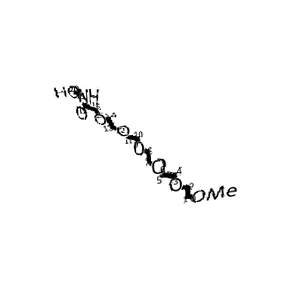 COCCOCCOCCOCCOCCOCC(=O)NO